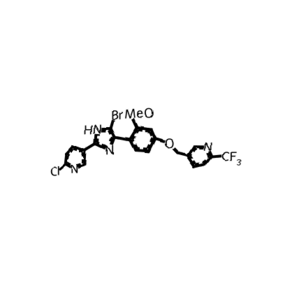 COc1cc(OCc2ccc(C(F)(F)F)nc2)ccc1-c1nc(-c2ccc(Cl)nc2)[nH]c1Br